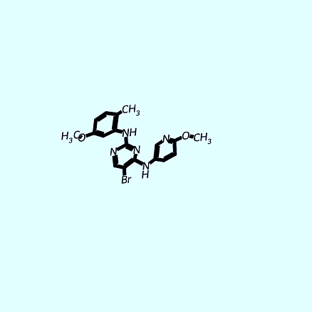 COc1ccc(C)c(Nc2ncc(Br)c(Nc3ccc(OC)nc3)n2)c1